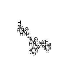 CCNC(=O)NCCSCC(=O)NC(/C=C(/C)CN1CCCCC1)Oc1ccccc1